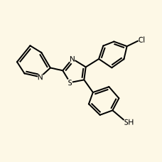 Sc1ccc(-c2sc(-c3ccccn3)nc2-c2ccc(Cl)cc2)cc1